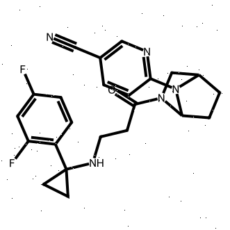 N#Cc1ccc(N2C3CCC2N(C(=O)CCNC2(c4ccc(F)cc4F)CC2)C3)nc1